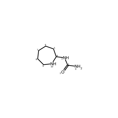 NC(=O)NC1CCCCCN1